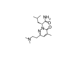 Cc1cc(CCN(C)C)nn([C@@H](CC(C)C)C(N)=O)c1=O